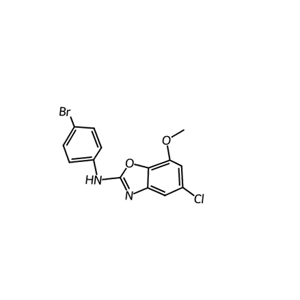 COc1cc(Cl)cc2nc(Nc3ccc(Br)cc3)oc12